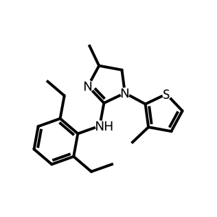 CCc1cccc(CC)c1NC1=NC(C)CN1c1sccc1C